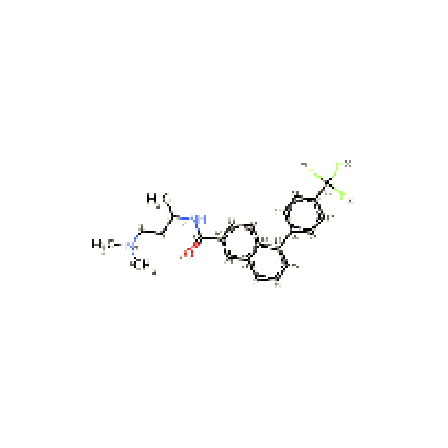 CC(CCN(C)C)NC(=O)c1ccc2c(-c3ccc(C(F)(F)F)cc3)cccc2c1